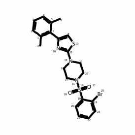 Cc1cccc(C)c1-c1csc(N2CCN(S(=O)(=O)c3ccccc3Br)CC2)n1